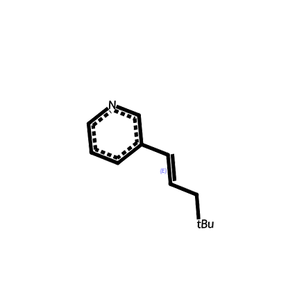 CC(C)(C)C/C=C/c1cccnc1